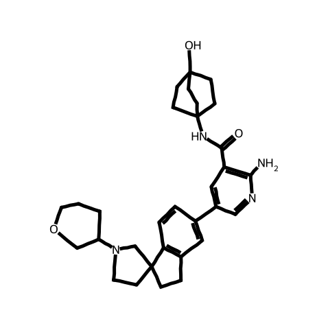 Nc1ncc(-c2ccc3c(c2)CCC32CCN(C3CCCOC3)C2)cc1C(=O)NC12CCC(O)(CC1)CC2